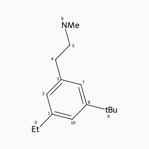 CCc1cc(CCNC)cc(C(C)(C)C)c1